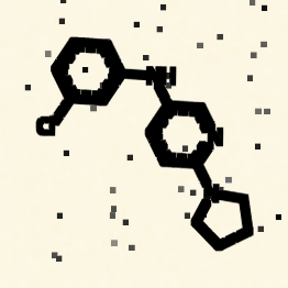 Clc1cccc(Nc2ccc(N3CCCC3)nc2)c1